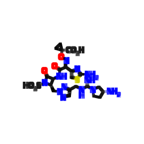 N=C(NCc1cnn(C[C@@H]2[C@H](NC(=O)/C(=N\OC3(C(=O)O)CC3)c3csc(N)n3)C(=O)N2S(=O)(=O)O)n1)N1CC[C@@H](N)C1